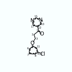 O=C(CCOc1cccc(Cl)c1)c1cncnc1